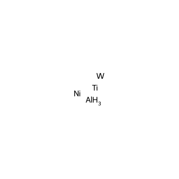 [AlH3].[Ni].[Ti].[W]